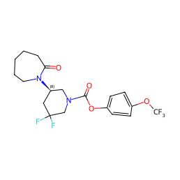 O=C(Oc1ccc(OC(F)(F)F)cc1)N1C[C@H](N2CCCCCC2=O)CC(F)(F)C1